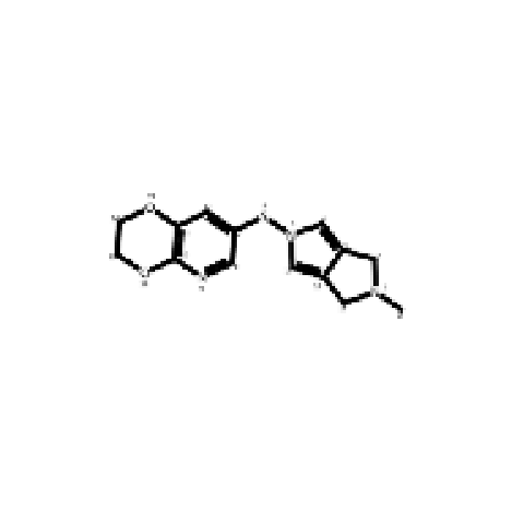 CN1Cc2cn(Sc3cnc4c(c3)OCCO4)cc2C1